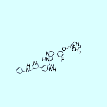 CN(C)CCOc1cc(F)cc(-c2ccnc3[nH]c(-c4n[nH]c5ccc(-c6cncc(CNCc7ccccc7)c6)cc45)cc23)c1